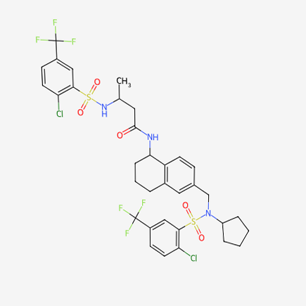 CC(CC(=O)NC1CCCc2cc(CN(C3CCCC3)S(=O)(=O)c3cc(C(F)(F)F)ccc3Cl)ccc21)NS(=O)(=O)c1cc(C(F)(F)F)ccc1Cl